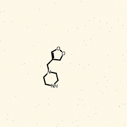 C1=C(CN2CCNCC2)COO1